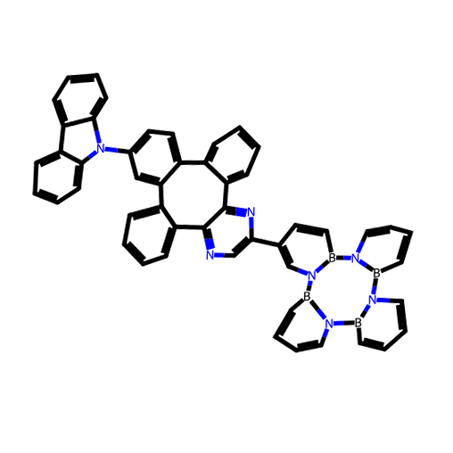 C1=CB2N(C=C1)B1C=CC=CN1B1C=CC(c3cnc4c(n3)-c3ccccc3-c3ccc(-n5c6ccccc6c6ccccc65)cc3-c3ccccc3-4)=CN1B1C=CC=CN21